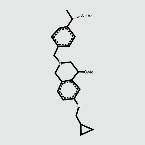 COC1CN(Cc2ccc([C@H](C)NC(C)=O)cc2)Cc2ccc(OCC3CC3)cc21